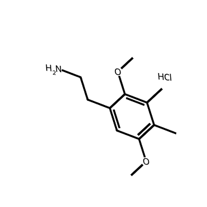 COc1cc(CCN)c(OC)c(C)c1C.Cl